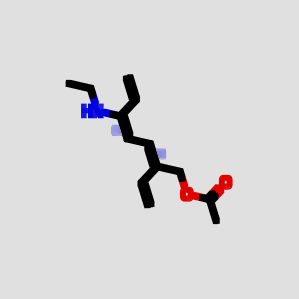 C=C/C(=C\C=C(/C=C)NCC)COC(C)=O